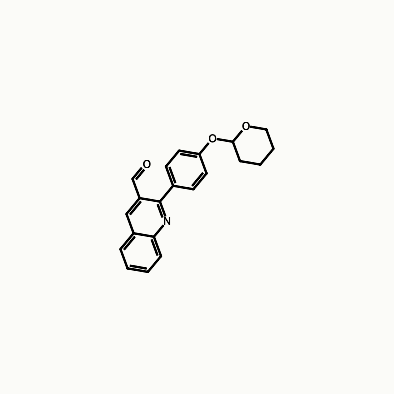 O=Cc1cc2ccccc2nc1-c1ccc(OC2CCCCO2)cc1